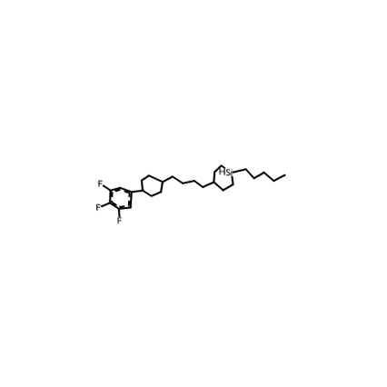 CCCCC[SiH]1CCC(CCCCC2CCC(c3cc(F)c(F)c(F)c3)CC2)CC1